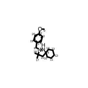 COc1ccc(CN2NC3(CCCCC3)CC2(C)C)cc1